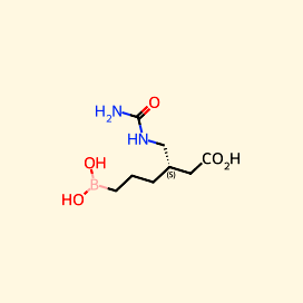 NC(=O)NC[C@@H](CCCB(O)O)CC(=O)O